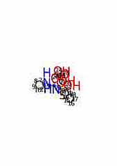 O=C(NCCNC1CCCCC1)c1sc2ccccc2c1O.O=C(O)C(=O)O